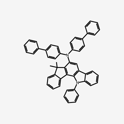 CC1(C)c2ccccc2-c2c1c(N(c1ccc(-c3ccccc3)cc1)c1ccc(-c3ccccc3)cc1)cc1c3ccccc3n(-c3ccccc3)c21